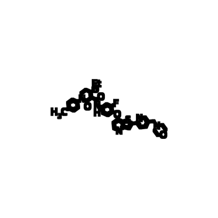 CCOC1=C(C(=O)Nc2ccc(Oc3ccnc4cc(-c5ccc(CN6CCOCC6)cn5)sc34)c(F)c2)C(=O)N(c2ccc(C)cc2)CC1